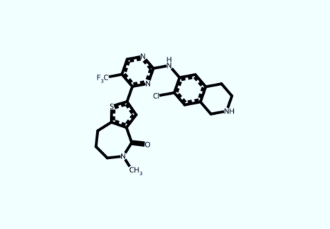 CN1CCCc2sc(-c3nc(Nc4cc5c(cc4Cl)CNCC5)ncc3C(F)(F)F)cc2C1=O